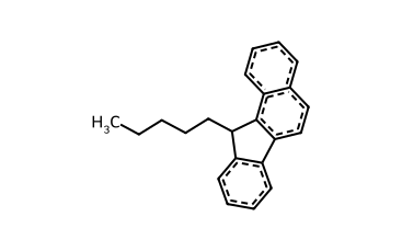 CCCCCC1c2ccccc2-c2ccc3ccccc3c21